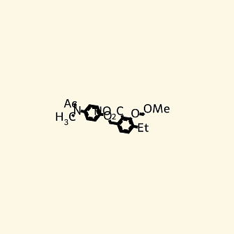 CCc1ccc(COc2ccc(N(C)C(C)=O)cc2)c(C(=O)O)c1OCOC